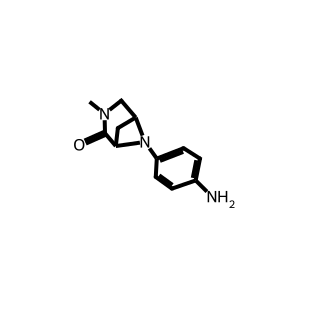 CN1CC2CC(C1=O)N2c1ccc(N)cc1